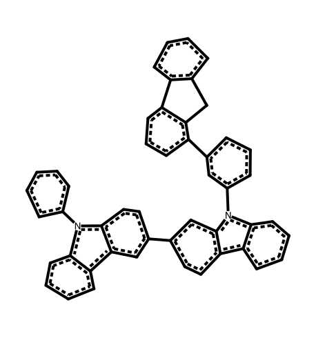 c1ccc(-n2c3ccccc3c3cc(-c4ccc5c6ccccc6n(-c6cccc(-c7cccc8c7Cc7ccccc7-8)c6)c5c4)ccc32)cc1